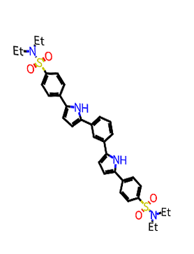 CCN(CC)S(=O)(=O)c1ccc(-c2ccc(-c3cccc(-c4ccc(-c5ccc(S(=O)(=O)N(CC)CC)cc5)[nH]4)c3)[nH]2)cc1